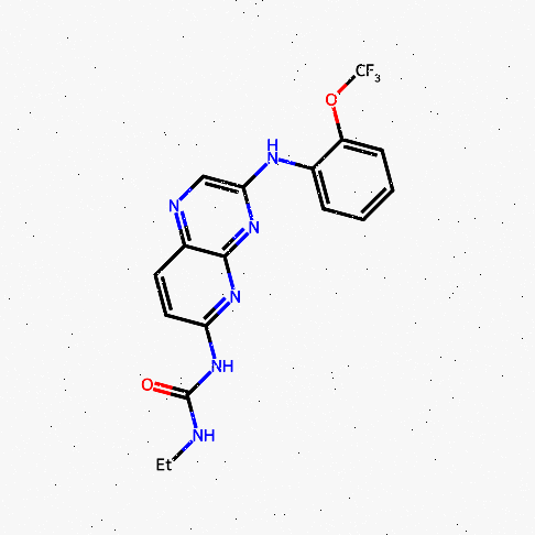 CCNC(=O)Nc1ccc2ncc(Nc3ccccc3OC(F)(F)F)nc2n1